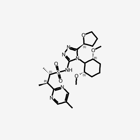 CO[C@H]1CCC[C@@H](OC)C1n1c(NS(=O)(=O)[C@@H](C)[C@H](C)c2ncc(C)cn2)nnc1[C@@H]1CCCO1